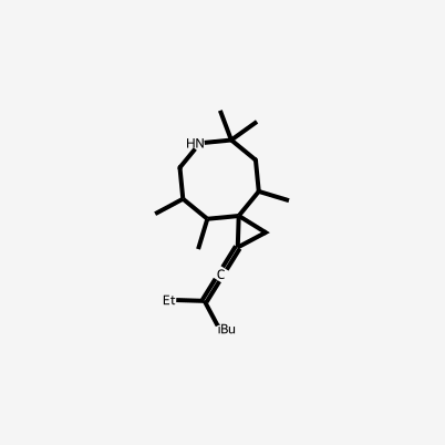 CCC(=C=C1CC12C(C)CC(C)(C)NCC(C)C2C)C(C)CC